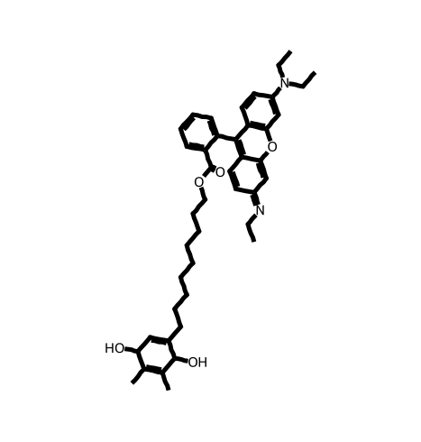 CC/N=c1\ccc2c(-c3ccccc3C(=O)OCCCCCCCCCC3=CC(O)C(C)=C(C)C3O)c3ccc(N(CC)CC)cc3oc-2c1